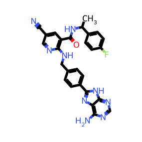 CC(NC(=O)c1cc(C#N)cnc1NCc1ccc(-c2nc3c(N)ncnc3[nH]2)cc1)c1ccc(F)cc1